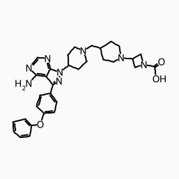 Nc1ncnc2c1c(-c1ccc(Oc3ccccc3)cc1)nn2C1CCN(CC2CCN(C3CN(C(=O)O)C3)CC2)CC1